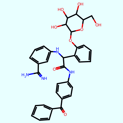 N=C(N)c1cccc(NC(C(=O)Nc2ccc(C(=O)c3ccccc3)cc2)c2ccccc2OC2OC(CO)C(O)C(O)C2O)c1